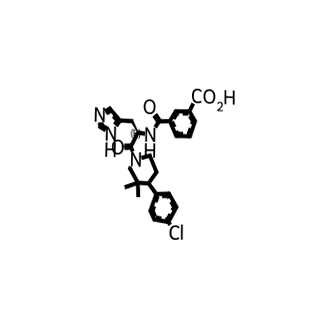 CC1(C)CN(C(=O)[C@@H](Cc2cnc[nH]2)NC(=O)c2cccc(C(=O)O)c2)CCC1c1ccc(Cl)cc1